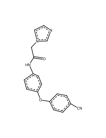 N#Cc1ccc(Oc2ccc(NC(=O)Cn3ccnc3)cc2)cc1